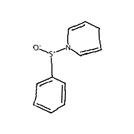 [O-][S+](c1ccccc1)N1C=CCC=C1